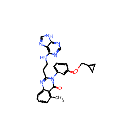 Cc1cccc2nc(CCNc3ncnc4[nH]cnc34)n(-c3cccc(OCC4CC4)c3)c(=O)c12